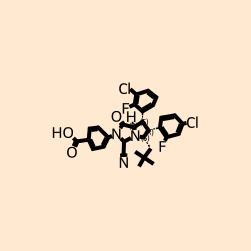 CC(C)(C)C[C@H]1[C@@H](c2ccc(Cl)cc2F)[C@@H](c2cccc(Cl)c2F)[C@@H]2C(=O)N(c3ccc(C(=O)O)cc3)C(C#N)N12